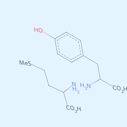 CSCCC(N)C(=O)O.NC(Cc1ccc(O)cc1)C(=O)O